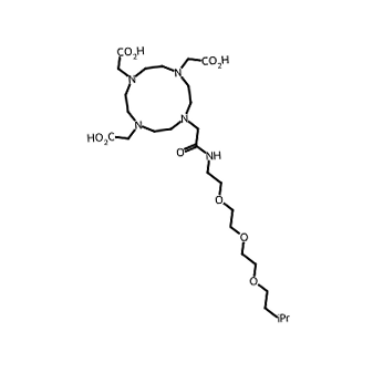 CC(C)CCOCCOCCOCCNC(=O)CN1CCN(CC(=O)O)CCN(CC(=O)O)CCN(CC(=O)O)CC1